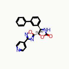 O=C1N[C@H](c2cccc(-c3ccccc3)c2)[C@@H](c2nc(-c3ccncc3)no2)O1